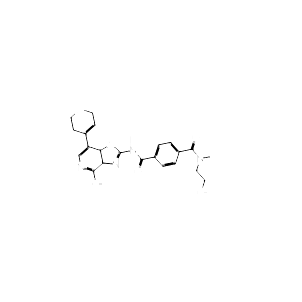 CN(CCO)C(=O)c1ccc(C(=O)NC2=NC3C(O)=NC=C(C4=CCOCC4)C3S2)cc1